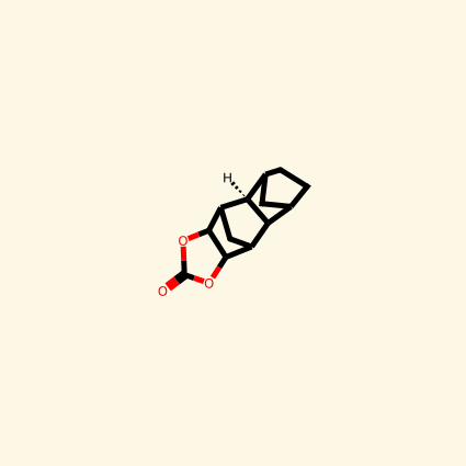 O=C1OC2C3CC(C2O1)[C@H]1C2CCC(C2)C31